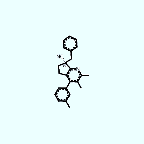 Cc1cccc(-c2c(C)c(C)nc3c2CC[C@@]3(C#N)Cc2ccccc2)c1